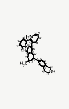 C=C1C=C(c2ccc3c(c2)CCNC3)C=c2cc(C3=C(c4cccc(C)n4)NC=CC=C3)ccc2=C1